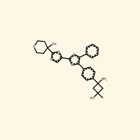 CC1(O)CC(N)(c2ccc(-c3nc(-c4cnc(C5(O)CCOCC5)s4)sc3-c3ccccc3)cc2)C1